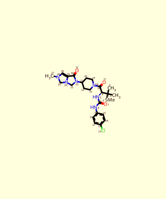 CSC(C)(C)[C@@H](NC(=O)Nc1ccc(Cl)cc1)C(=O)N1CCC(N2CN3CN(C)C=C3C2=O)CC1